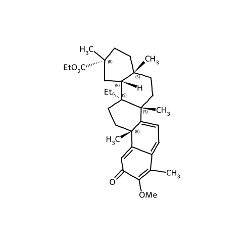 CCOC(=O)[C@]1(C)CC[C@]2(C)CC[C@]3(C)C4=CC=C5C(=CC(=O)C(OC)=C5C)[C@]4(C)CC[C@@]3(CC)[C@@H]2C1